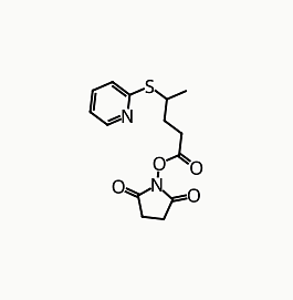 CC(CCC(=O)ON1C(=O)CCC1=O)Sc1ccccn1